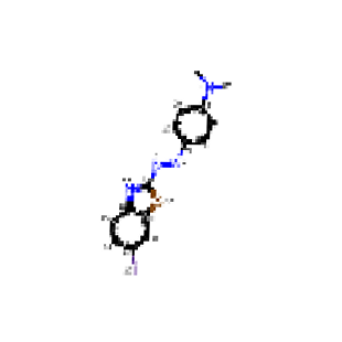 CN(C)c1ccc(N=Nc2nc3ccc(I)cc3s2)cc1